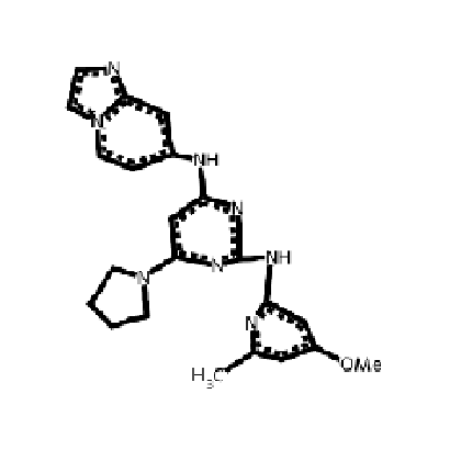 COc1cc(C)nc(Nc2nc(Nc3ccn4ccnc4c3)cc(N3CCCC3)n2)c1